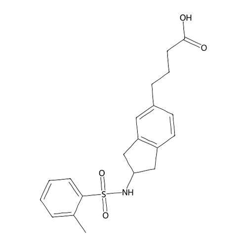 Cc1ccccc1S(=O)(=O)NC1Cc2ccc(CCCC(=O)O)cc2C1